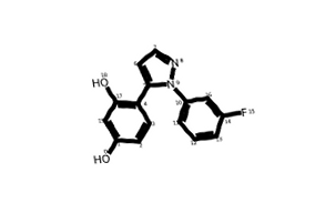 Oc1ccc(-c2ccnn2-c2cccc(F)c2)c(O)c1